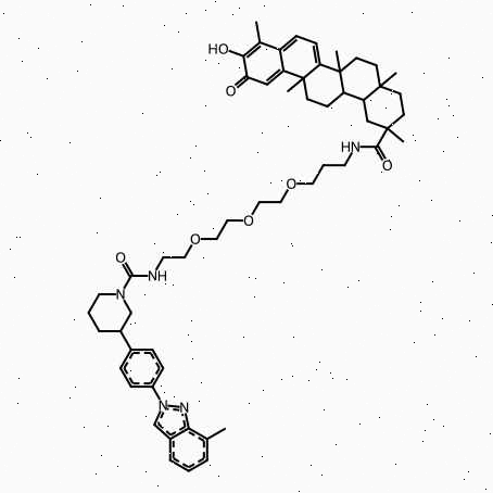 CC1=C(O)C(=O)C=C2C1=CC=C1C2(C)CCC2C3CC(C)(C(=O)NCCCOCCOCCOCCNC(=O)N4CCCC(c5ccc(-n6cc7cccc(C)c7n6)cc5)C4)CCC3(C)CCC12C